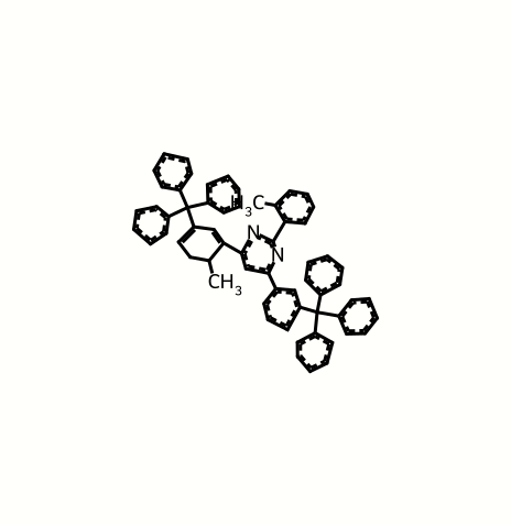 Cc1ccccc1-c1nc(C2=CC(C(c3ccccc3)(c3ccccc3)c3ccccc3)=CCC2C)cc(-c2cccc(C(c3ccccc3)(c3ccccc3)c3ccccc3)c2)n1